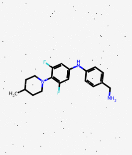 CC1CCN(c2c(F)cc(Nc3ccc(CN)cc3)cc2F)CC1